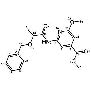 COC(=O)c1cc(NC(=O)C(C)OCc2ccccc2)nc(OC)c1